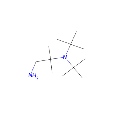 CC(C)(C)N(C(C)(C)C)C(C)(C)CN